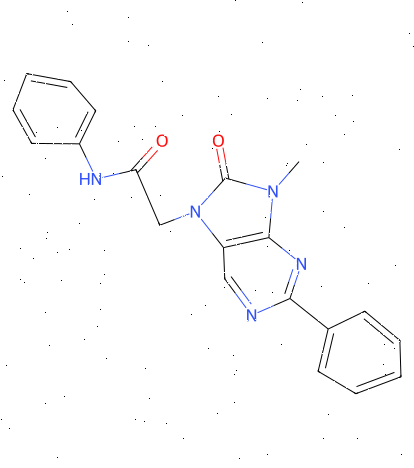 Cn1c(=O)n(CC(=O)Nc2ccccc2)c2cnc(-c3ccccc3)nc21